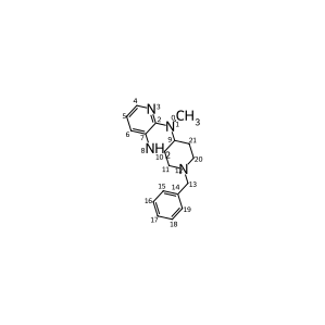 CN(c1ncccc1N)C1CCN(Cc2ccccc2)CC1